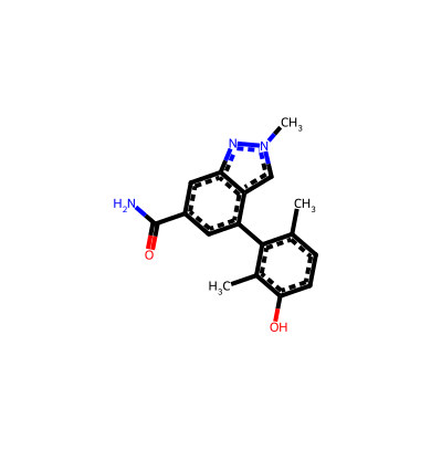 Cc1ccc(O)c(C)c1-c1cc(C(N)=O)cc2nn(C)cc12